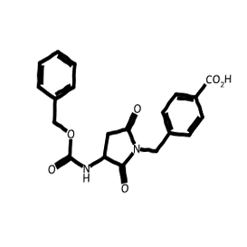 O=C(NC1CC(=O)N(Cc2ccc(C(=O)O)cc2)C1=O)OCc1ccccc1